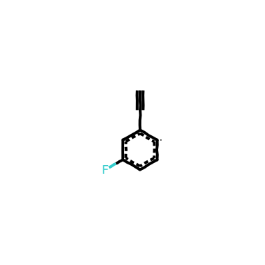 C#Cc1[c]ccc(F)c1